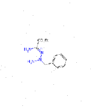 CCOC(=O)/C(N)=N/N(N)Cc1ccccc1